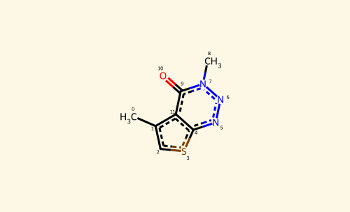 Cc1csc2nnn(C)c(=O)c12